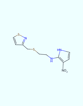 O=[N+]([O-])c1cc[nH]c1NCCSCc1ccsn1